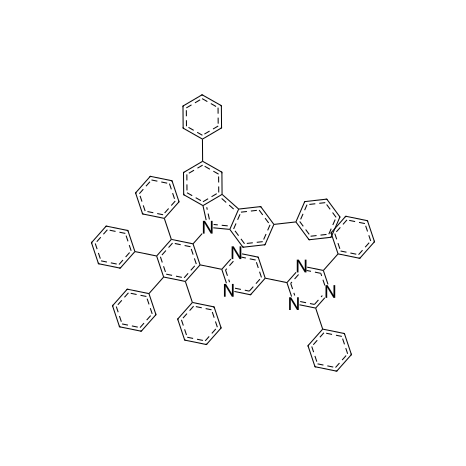 c1ccc(-c2ccc3c(c2)c2cc(-c4ccccc4)ccc2n3-c2c(-c3ccccc3)c(-c3ccccc3)c(-c3ccccc3)c(-c3ccccc3)c2-c2ncc(-c3nc(-c4ccccc4)nc(-c4ccccc4)n3)cn2)cc1